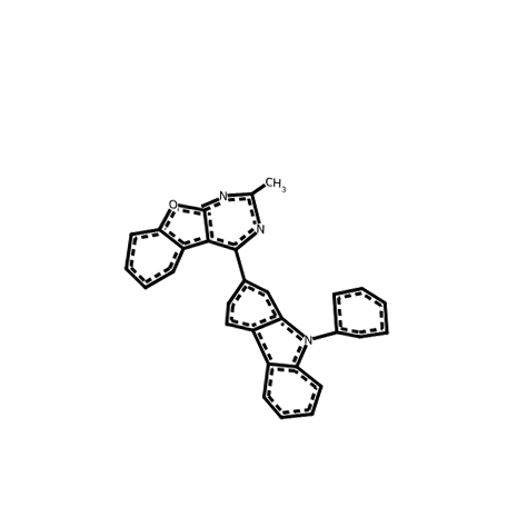 Cc1nc(-c2ccc3c4ccccc4n(-c4ccccc4)c3c2)c2c(n1)oc1ccccc12